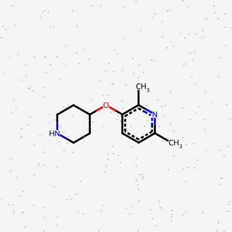 Cc1ccc(OC2CCNCC2)c(C)n1